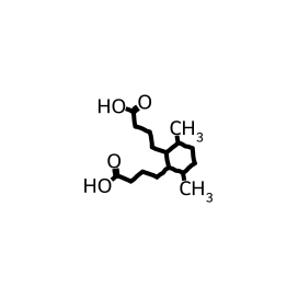 CC1CCC(C)C(CCCC(=O)O)C1CCCC(=O)O